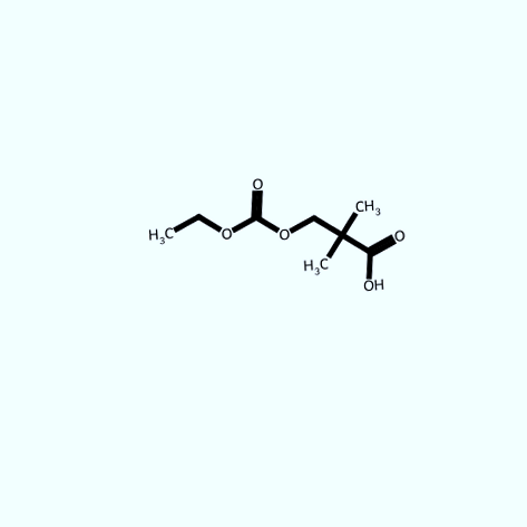 CCOC(=O)OCC(C)(C)C(=O)O